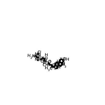 C#C[C@]1(COC(=O)CC[C@@H](C)[C@H]2CC[C@H]3[C@@H]4CC[C@@H]5C[C@H](O)CC[C@]5(C)[C@H]4CC[C@]23C)O[C@@H](n2cnc3c(N)nc(Cl)nc32)C[C@@H]1O